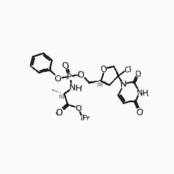 CC(C)OC(=O)[C@H](C)NP(=O)(OC[C@@H]1CC(Cl)(n2ccc(=O)[nH]c2=O)CO1)Oc1ccccc1